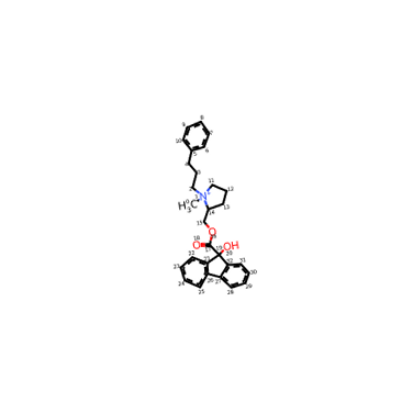 C[N@@+]1(CCCc2ccccc2)CCCC1COC(=O)C1(O)c2ccccc2-c2ccccc21